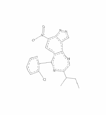 CCC(C)c1cnc2c(cc([N+](=O)[O-])c3nncc32)c(-c2ccccc2Cl)n1